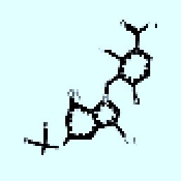 Cc1cn(Cc2c(Cl)ccc(C(=O)O)c2Cl)c2c(C)cc(OC(F)(F)F)cc12